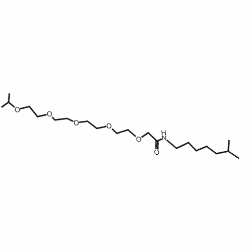 CC(C)CCCCCNC(=O)COCCOCCOCCOCCOC(C)C